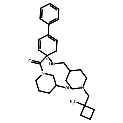 O=C(N1CCCC(O)C1)[C@]1(NCC2CCN(CC3(C(F)(F)F)CCC3)CC2)C=CC(c2ccccc2)=CC1